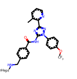 CCCCCCCNCc1ccc(C(=O)Nc2nc(-c3ncccc3C)nn2-c2ccc(OC(F)(F)F)cc2)cc1